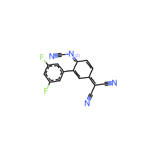 N#C/N=C1/C=CC(=C(C#N)C#N)C=C1c1cc(F)cc(F)c1